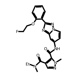 CCN(C)C(=O)c1cnn(C)c1C(=O)Nc1ccn2nc(-c3ccccc3OCCF)nc2c1